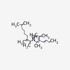 C=C/C=C/C(C(=C)C)=C(\C)N(C)C(=C)[C@@H](C)CCCCC(=C)C